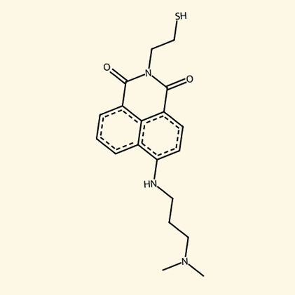 CN(C)CCCNc1ccc2c3c(cccc13)C(=O)N(CCS)C2=O